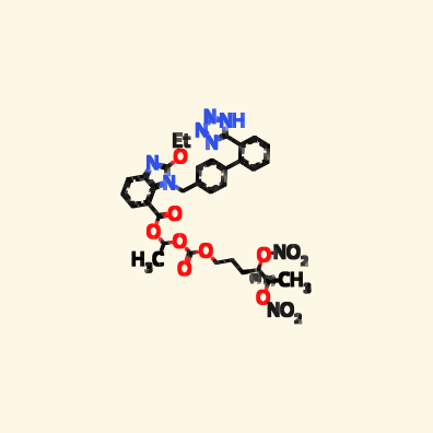 CCOc1nc2cccc(C(=O)OC(C)OC(=O)OCCC[C@@H](O[N+](=O)[O-])[C@@H](C)O[N+](=O)[O-])c2n1Cc1ccc(-c2ccccc2-c2nnn[nH]2)cc1